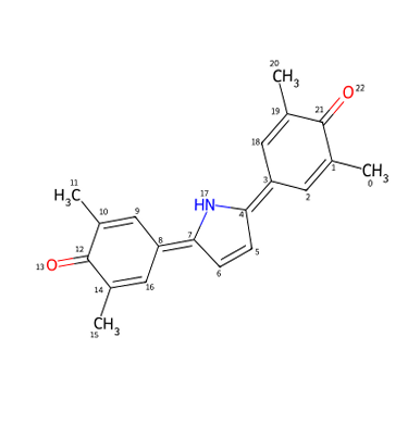 CC1=CC(=c2ccc(=C3C=C(C)C(=O)C(C)=C3)[nH]2)C=C(C)C1=O